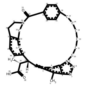 Cc1c2cnc3c1nnn3CCCCCCc1ccc(cc1)C(=O)N1CCc3ccc(cc3C1)[C@H]2[C@@H](C)C(=O)O